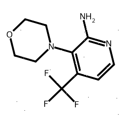 Nc1nccc(C(F)(F)F)c1N1CCOCC1